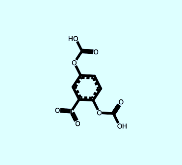 O=C(O)Oc1ccc(OC(=O)O)c(I(=O)=O)c1